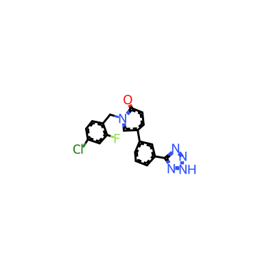 O=c1ccc(-c2cccc(-c3nn[nH]n3)c2)cn1Cc1ccc(Cl)cc1F